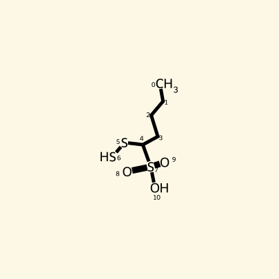 CCCCC(SS)S(=O)(=O)O